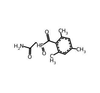 Cc1cc(C)c(C(=O)[PH](=O)CC(N)=O)c(C)c1